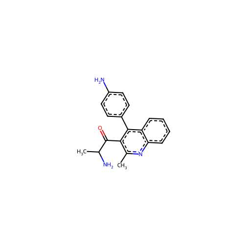 Cc1nc2ccccc2c(-c2ccc(N)cc2)c1C(=O)C(C)N